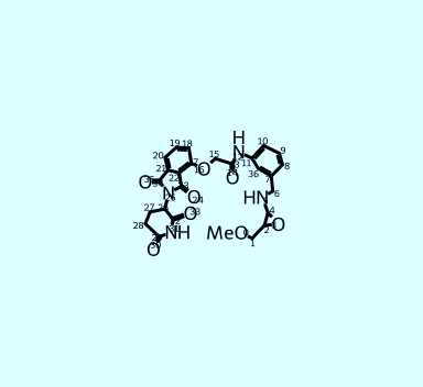 COCC1OC1NCc1cccc(NC(=O)COc2cccc3c2C(=O)N(C2CCC(=O)NC2=O)C3=O)c1